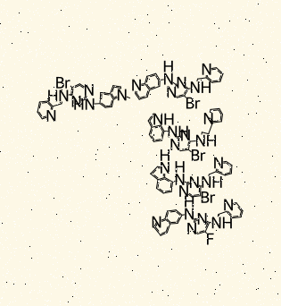 Brc1cnc(Nc2ccc3ncccc3c2)nc1NCc1ccccn1.Brc1cnc(Nc2cccc3cc[nH]c23)nc1NCCc1ccccn1.Brc1cnc(Nc2cccc3cc[nH]c23)nc1NCc1ccccn1.Cn1ccc2cc(Nc3ncc(Br)c(NCc4ccccn4)n3)ccc21.Fc1cnc(Nc2ccc3ncccc3c2)nc1NCc1ccccn1